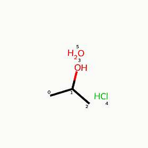 CC(C)O.Cl.O